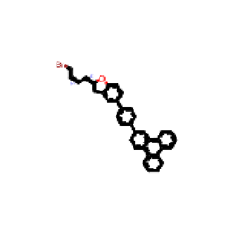 BrC/C=C\C=C1/Cc2cc(-c3ccc(-c4ccc5c6ccccc6c6ccccc6c5c4)cc3)ccc2O1